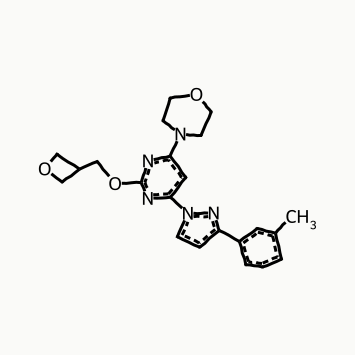 Cc1cccc(-c2ccn(-c3cc(N4CCOCC4)nc(OCC4COC4)n3)n2)c1